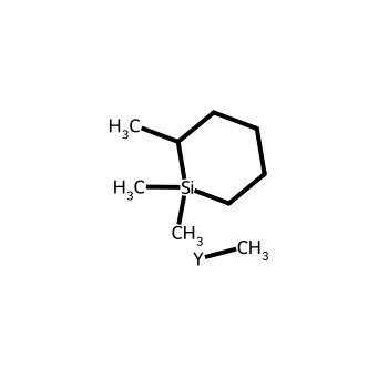 CC1CCCC[Si]1(C)C.[CH3][Y]